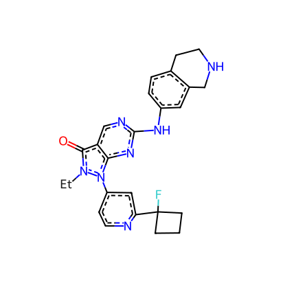 CCn1c(=O)c2cnc(Nc3ccc4c(c3)CNCC4)nc2n1-c1ccnc(C2(F)CCC2)c1